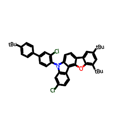 CC(C)(C)c1ccc(-c2ccc(-n3c4cc(Cl)ccc4c4c5oc6c(C(C)(C)C)cc(C(C)(C)C)cc6c5ccc43)c(Cl)c2)cc1